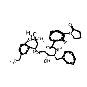 CCc1ccc2c(c1)[C@@H](NC[C@@H](O)[C@H](Cc1ccccc1)NC(=O)c1cccc(N3CCCC3=O)c1F)CC(C)(C)O2